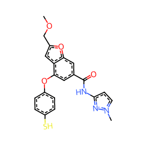 COCc1cc2c(Oc3ccc(S)cc3)cc(C(=O)Nc3ccn(C)n3)cc2o1